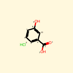 Cl.O=C(O)c1cccc(O)c1